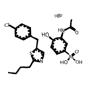 Br.CC(=O)Nc1cc([As](=O)(O)O)ccc1O.CCCCc1ncc(Cc2ccc(Cl)cc2)s1